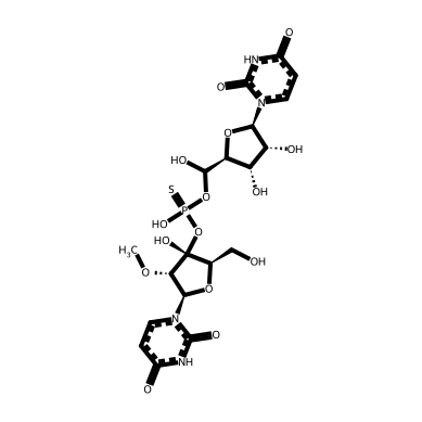 CO[C@H]1[C@H](n2ccc(=O)[nH]c2=O)O[C@H](CO)[C@@]1(O)OP(O)(=S)OC(O)[C@H]1O[C@@H](n2ccc(=O)[nH]c2=O)[C@H](O)[C@@H]1O